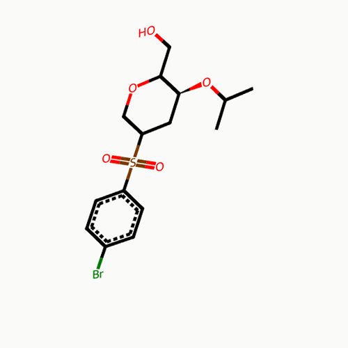 CC(C)O[C@H]1CC(S(=O)(=O)c2ccc(Br)cc2)COC1CO